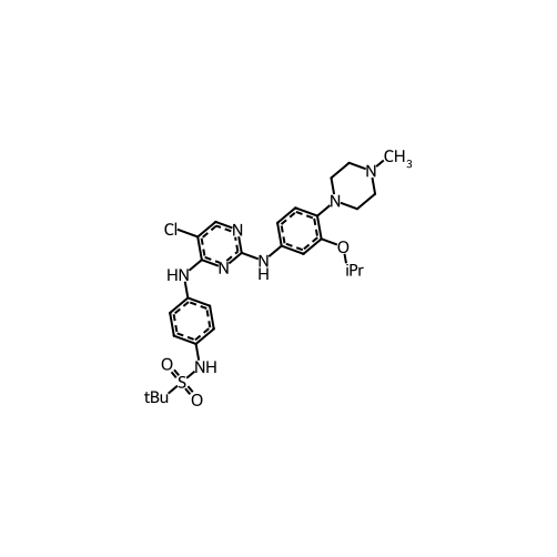 CC(C)Oc1cc(Nc2ncc(Cl)c(Nc3ccc(NS(=O)(=O)C(C)(C)C)cc3)n2)ccc1N1CCN(C)CC1